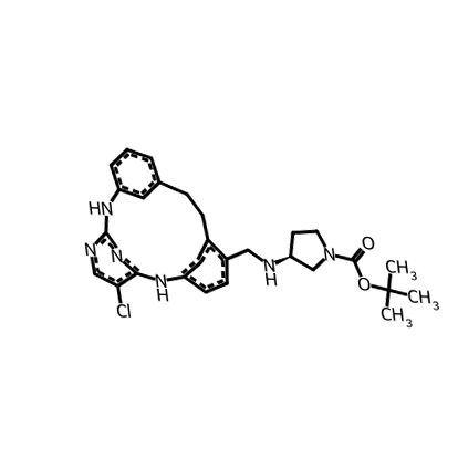 CC(C)(C)OC(=O)N1CC[C@H](NCc2ccc3cc2CCc2cccc(c2)Nc2ncc(Cl)c(n2)N3)C1